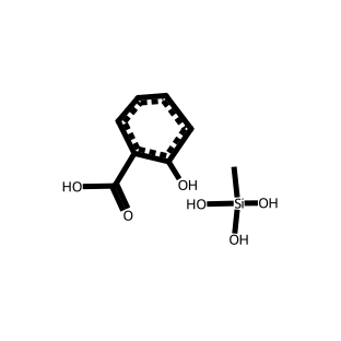 C[Si](O)(O)O.O=C(O)c1ccccc1O